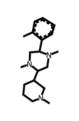 Cc1ccccc1C1CN(C)C(C2CCCN(C)C2)CN1C